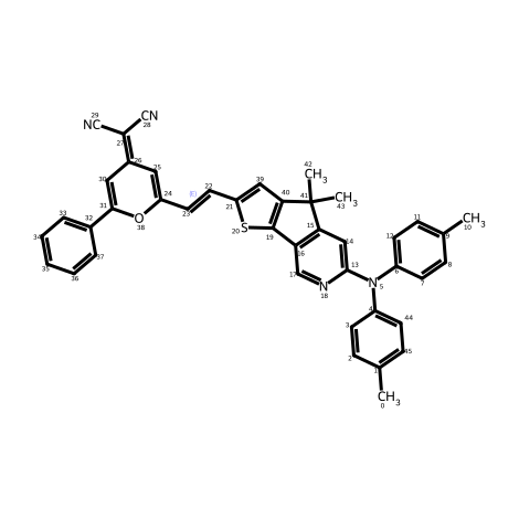 Cc1ccc(N(c2ccc(C)cc2)c2cc3c(cn2)-c2sc(/C=C/C4=CC(=C(C#N)C#N)C=C(c5ccccc5)O4)cc2C3(C)C)cc1